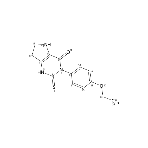 O=c1c2c([nH]c(=S)n1-c1ccc(OCC(F)(F)F)cc1)CCN2